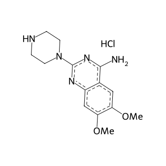 COc1cc2nc(N3CCNCC3)nc(N)c2cc1OC.Cl